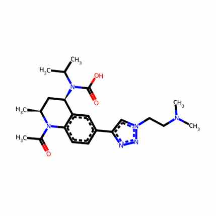 CC(=O)N1c2ccc(-c3cn(CCN(C)C)nn3)cc2[C@H](N(C(=O)O)C(C)C)C[C@@H]1C